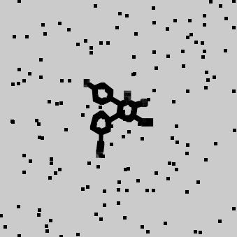 N#Cc1cccc(-c2cc(O)c(=O)[nH]c2-c2ccc(F)cc2)c1